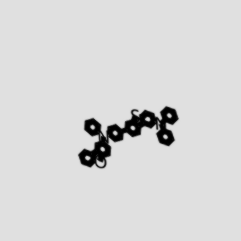 c1ccc(N(c2ccc(-c3ccc4c(c3)sc3ccc(N(c5ccccc5)c5ccccc5)cc34)cc2)c2ccc3oc4ccccc4c3c2)cc1